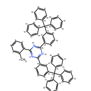 Cc1ccccc1-c1nc(-c2cccc(C(c3ccccc3)(c3ccccc3)c3ccccc3)c2)nc(-c2cccc(C(c3ccccc3)(c3ccccc3)c3ccccc3)c2)n1